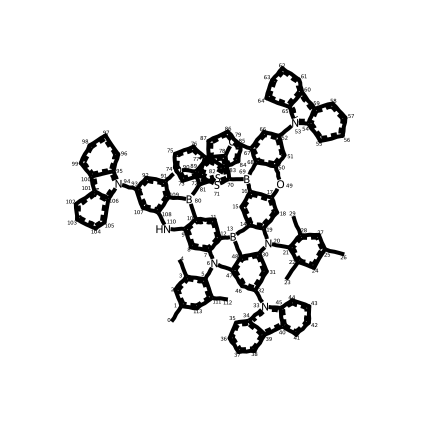 Cc1cc(C)c(N2c3cc4c(cc3B3c5cc6c(cc5N(c5c(C)cc(C)cc5C)c5cc(-n7c8ccccc8c8ccccc87)cc2c53)Oc2cc(-n3c5ccccc5c5ccccc53)cc3c2B6c2sc5ccccc5c2O3)B2c3sc5ccccc5c3Oc3cc(-n5c6ccccc6c6ccccc65)cc(c32)N4)c(C)c1